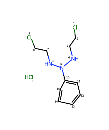 Cl.ClCCNN(NCCCl)c1ccccc1